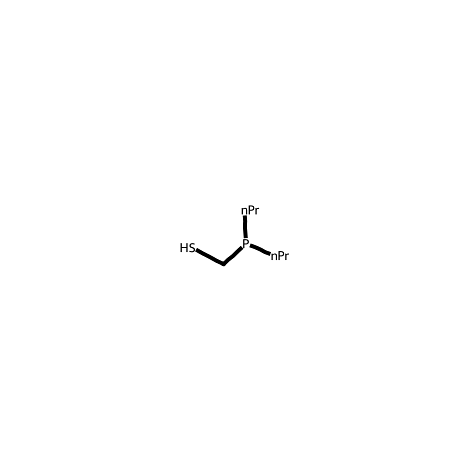 CCCP(CS)CCC